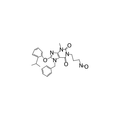 CC(C)c1ccccc1Oc1nc2c(c(=O)n(CCCN=O)c(=O)n2C)n1Cc1ccccc1